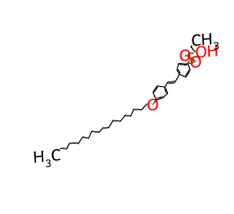 CCCCCCCCCCCCCCCCCCOc1ccc(C=Cc2ccc(S(=O)(=O)C(O)CC)cc2)cc1